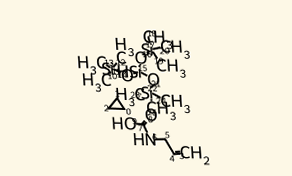 C1CC1.C=CCNC(=O)O.C[Si](C)(C)O[SiH](O[Si](C)(C)C)O[Si](C)(C)C